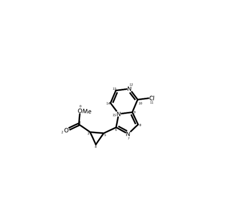 COC(=O)C1CC1c1ncc2c(Cl)nccn12